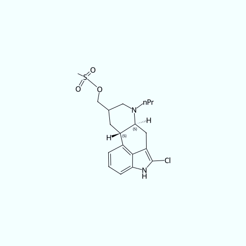 CCCN1CC(COS(C)(=O)=O)C[C@H]2c3cccc4[nH]c(Cl)c(c34)C[C@@H]21